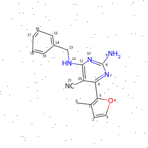 Cc1ccoc1-c1nc(N)nc(NCc2ccccc2)c1C#N